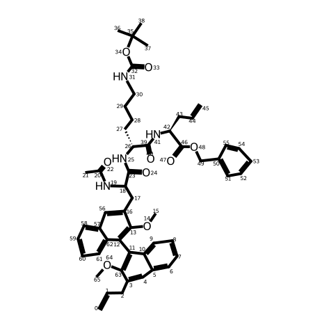 C=CCc1cc2ccccc2c(-c2c(OC)c(CC(NC(C)=O)C(=O)N[C@H](CCCCNC(=O)OC(C)(C)C)C(=O)N[C@@H](CC=C)C(=O)OCc3ccccc3)cc3ccccc23)c1OC